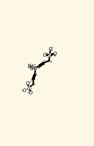 O=S(=O)([O-])CC#COC#CCS(=O)(=O)[O-].[Na+].[Na+]